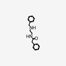 O=C(Cc1ccccc1)NCCNCc1ccccc1